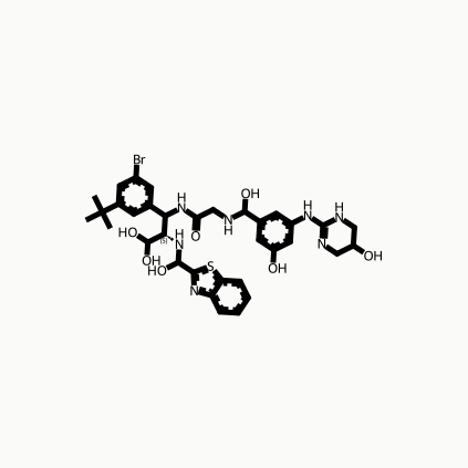 CC(C)(C)c1cc(Br)cc(C(NC(=O)CNC(O)c2cc(O)cc(NC3=NCC(O)CN3)c2)[C@H](NC(O)c2nc3ccccc3s2)C(O)O)c1